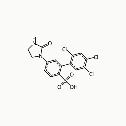 O=C1NCCN1c1ccc(S(=O)(=O)O)c(-c2cc(Cl)c(Cl)cc2Cl)c1